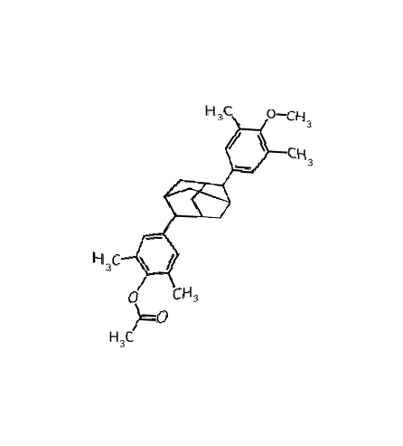 COc1c(C)cc(C2C3CC4CC2CC(C3)C4c2cc(C)c(OC(C)=O)c(C)c2)cc1C